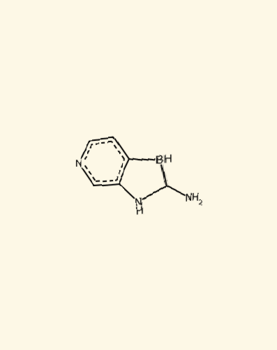 NC1Bc2ccncc2N1